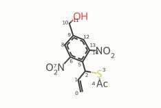 C=CC(SC(C)=O)c1c([N+](=O)[O-])cc(CO)cc1[N+](=O)[O-]